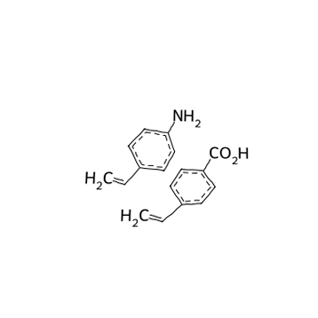 C=Cc1ccc(C(=O)O)cc1.C=Cc1ccc(N)cc1